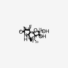 C#Cc1[nH]c(=O)c(C)c(F)c1[C@@H]1O[C@H](CO)C(O)[C@@H]1OC